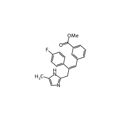 COC(=O)c1cccc(C=C(Cc2ncc(C)[nH]2)c2ccc(F)cc2)c1